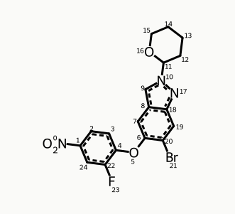 O=[N+]([O-])c1ccc(Oc2cc3cn(C4CCCCO4)nc3cc2Br)c(F)c1